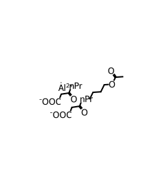 CCCC(=O)CC(=O)[O-].CCCC(=O)CC(=O)[O-].CCCCOC(C)=O.[Al+2]